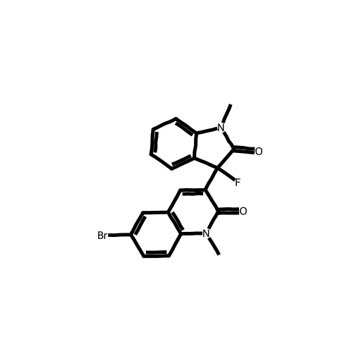 CN1C(=O)C(F)(c2cc3cc(Br)ccc3n(C)c2=O)c2ccccc21